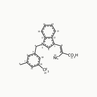 Cc1cc(Cn2cc(/C=C(\C#N)C(=O)O)c3ccccc32)cc(C(F)(F)F)c1